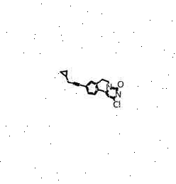 O=c1nc(Cl)cc2n1CCc1cc(C#CCC3CC3)ccc1-2